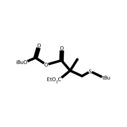 CCOC(=O)C(C)(CSC(C)(C)C)C(=O)OC(=O)OCC(C)C